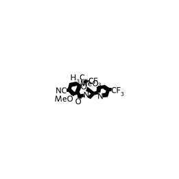 COc1cc(C(F)(F)F)cnc1C1CN(C(=O)c2c(O[C@@H](C)C(F)(F)F)ccc(C#N)c2OC)C1